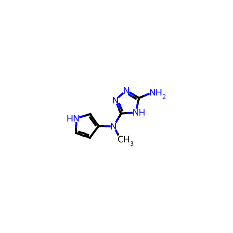 CN(c1cc[nH]c1)c1nnc(N)[nH]1